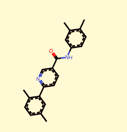 Cc1ccc(C)c(-c2ccc(C(=O)Nc3ccc(C)c(C)c3)cn2)c1